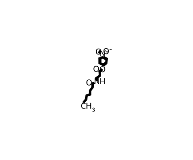 CCCCCCCC(=O)NCCC(=O)Oc1ccc([N+](=O)[O-])cc1